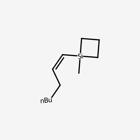 CCCCC/C=C\[Si]1(C)CCC1